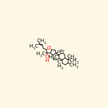 CCCC12CC3OC(CC=C(C)C)C(C)(O)C3C1CCC1C3(C)CCC(C)C(C)(C)C3CCC12C